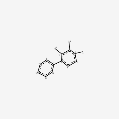 [CH2]c1c(C)ccc(-c2ccccc2)c1C